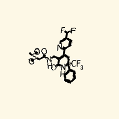 CS(=O)(=O)CC(=O)NCC1=C(c2ccc(C(F)F)cn2)C[C@](c2ccccc2)(C(F)(F)F)NC1=O